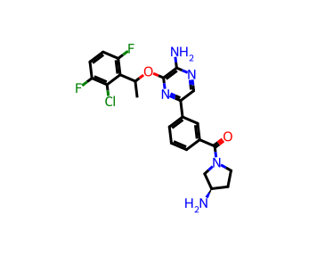 CC(Oc1nc(-c2cccc(C(=O)N3CC[C@@H](N)C3)c2)cnc1N)c1c(F)ccc(F)c1Cl